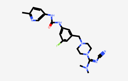 Cc1ccc(NC(=O)Nc2cc(F)cc(CN3CCN(/C(=N\C#N)N(C)C)CC3)c2)cn1